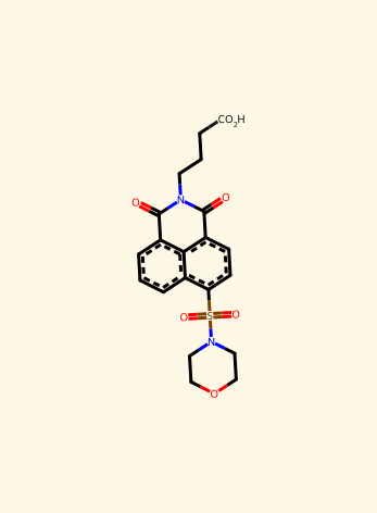 O=C(O)CCCN1C(=O)c2cccc3c(S(=O)(=O)N4CCOCC4)ccc(c23)C1=O